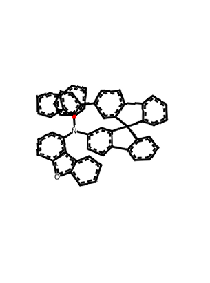 c1ccc(-c2ccc3c(c2)C2(c4ccccc4-3)c3ccccc3-c3ccc(N(c4cccc5ccccc45)c4cccc5oc6ccccc6c45)cc32)cc1